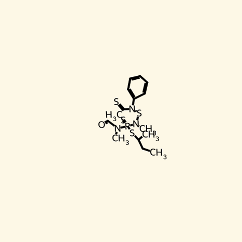 CCC(C)SP(=S)(N(C)C=O)N(C)SN(C(C)=S)c1ccccc1